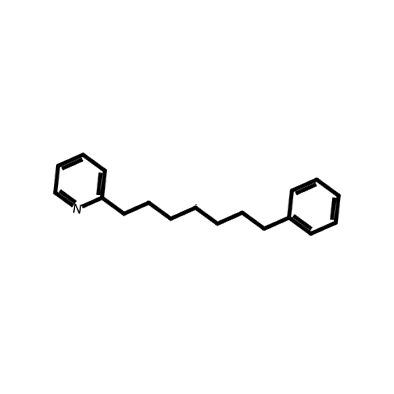 [CH](CCCc1ccccc1)CCCc1ccccn1